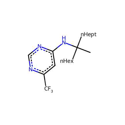 CCCCCCCC(C)(CCCCCC)Nc1cc(C(F)(F)F)ncn1